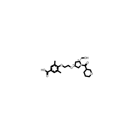 Cc1cc(C(=O)O)cc(C)c1OCCO[C@@H]1C[C@H](CO)N(C(=O)C2CCCOC2)C1